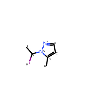 Cc1ccnn1C(C)I